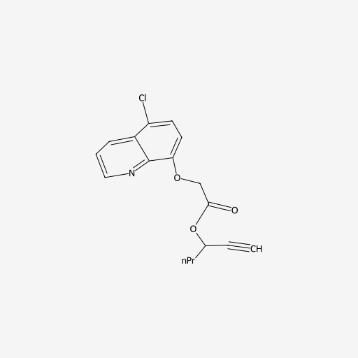 C#CC(CCC)OC(=O)COc1ccc(Cl)c2cccnc12